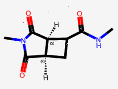 CNC(=O)C1C[C@H]2C(=O)N(C)C(=O)[C@@H]12